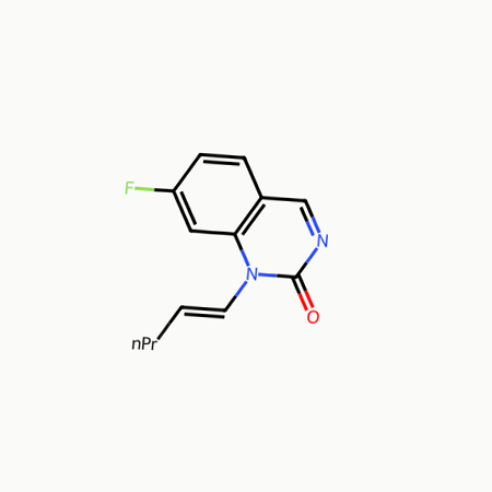 CCCC=Cn1c(=O)ncc2ccc(F)cc21